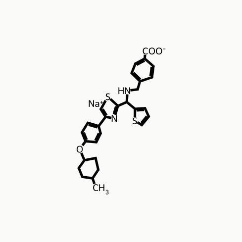 CC1CCC(Oc2ccc(-c3csc(C(NCc4ccc(C(=O)[O-])cc4)c4cccs4)n3)cc2)CC1.[Na+]